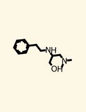 CN(C)CC(CO)NCCc1ccccc1